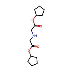 O=C(CNCC(=O)OC1CCCC1)OC1CCCC1